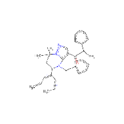 C=C/C=C(\C=C/C)C1CC(C)(C)n2ncc(C(=O)C(C)c3ccccc3)c2N1Cc1ccccc1